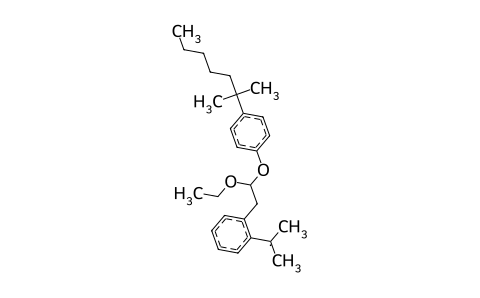 CCCCCC(C)(C)c1ccc(OC(Cc2ccccc2[C](C)C)OCC)cc1